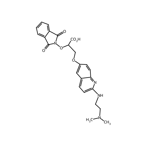 CN(C)CCNc1ccc2cc(OCC(ON3C(=O)c4ccccc4C3=O)C(=O)O)ccc2n1